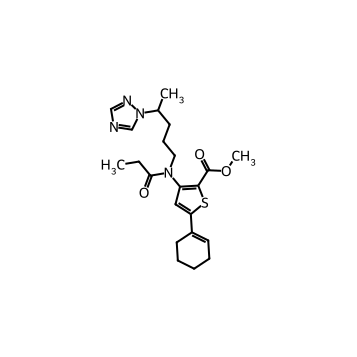 CCC(=O)N(CCCC(C)n1cncn1)c1cc(C2=CCCCC2)sc1C(=O)OC